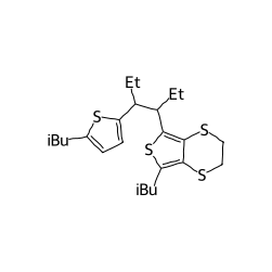 CCC(C)c1ccc(C(CC)C(CC)c2sc(C(C)CC)c3c2SCCS3)s1